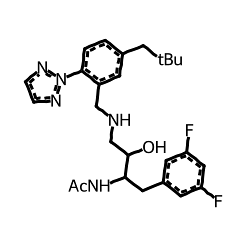 CC(=O)NC(Cc1cc(F)cc(F)c1)C(O)CNCc1cc(CC(C)(C)C)ccc1-n1nccn1